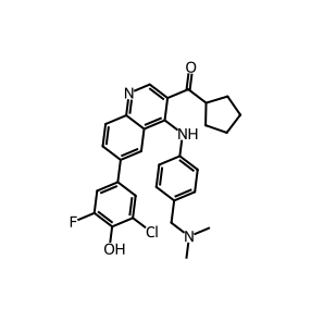 CN(C)Cc1ccc(Nc2c(C(=O)C3CCCC3)cnc3ccc(-c4cc(F)c(O)c(Cl)c4)cc23)cc1